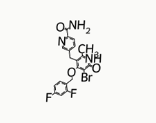 Cc1[nH]c(=O)c(Br)c(OCc2ccc(F)cc2F)c1Cc1ccc(C(N)=O)nc1